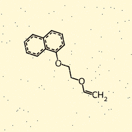 C=COCCOc1cccc2ccccc12